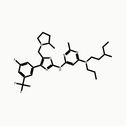 CCCN(CCC(C)CC)c1cc(Nc2nc(-c3cc(F)cc(C(F)(F)F)c3)c(CN3CCCC3C)s2)nc(C)n1